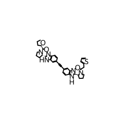 O=C(Cc1cccs1)N1CCC[C@H]1c1nc2cc(C#Cc3ccc4nc([C@@H]5CCCN5C(=O)[C@H]5CCCO5)[nH]c4c3)ccc2[nH]1